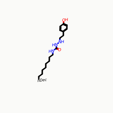 CCCCCCCCCCCCCCCCCCNC(=O)NNCCc1ccc(O)cc1